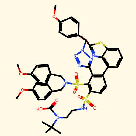 COc1ccc(CN(Cc2ccc(OC)cc2)S(=O)(=O)c2c(S(=O)(=O)NCCN(C(=O)O)C(C)(C)C)ccc(-c3cccc4sc(Br)nc34)c2-c2nnn(Cc3ccc(OC)cc3)n2)cc1